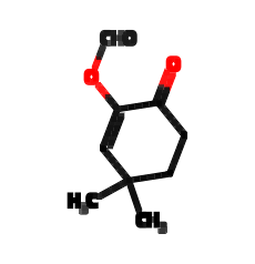 CC1(C)C=C(OC=O)C(=O)CC1